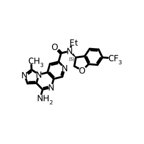 CCN(C(=O)c1cc2c(cn1)nc(N)c1cnc(C)n12)[C@@H]1COc2cc(C(F)(F)F)ccc21